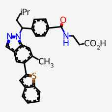 Cc1cc2c(cnn2C(CC(C)C)c2ccc(C(=O)NCCC(=O)O)cc2)cc1-c1cc2ccccc2s1